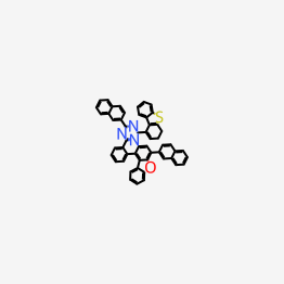 C1=C(c2nc(-c3ccc4ccccc4c3)nc(-c3ccccc3-c3ccc(-c4ccc5ccccc5c4)c4oc5ccccc5c34)n2)c2c(sc3ccccc23)CC1